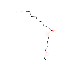 C=COCCCCOC(=O)CCCCCCCCCCCCCCCCC